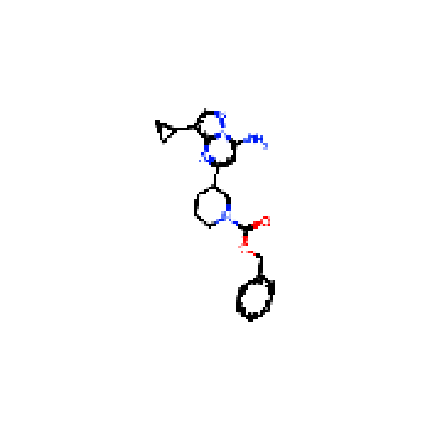 Nc1cc(C2CCCN(C(=O)OCc3ccccc3)C2)nc2c(C3CC3)cnn12